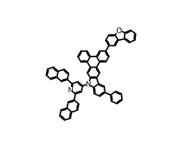 c1ccc(-c2ccc3c(c2)c2cc4c5ccc(-c6ccc7oc8ccccc8c7c6)cc5c5ccccc5c4cc2n3-c2cc(-c3ccc4ccccc4c3)nc(-c3ccc4ccccc4c3)c2)cc1